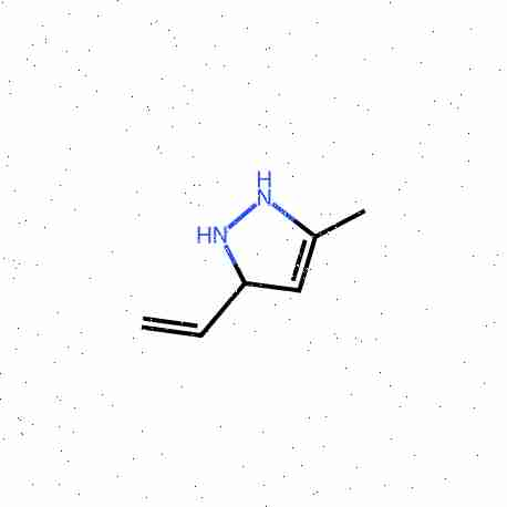 C=CC1C=C(C)NN1